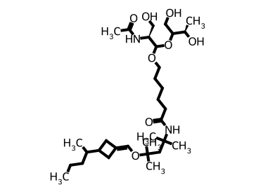 CCCC(C)C1CC(=COC(C)(C)CC(C)(C)NC(=O)CCCCCOC(OC(CO)[C@@H](C)O)[C@H](CO)NC(C)=O)C1